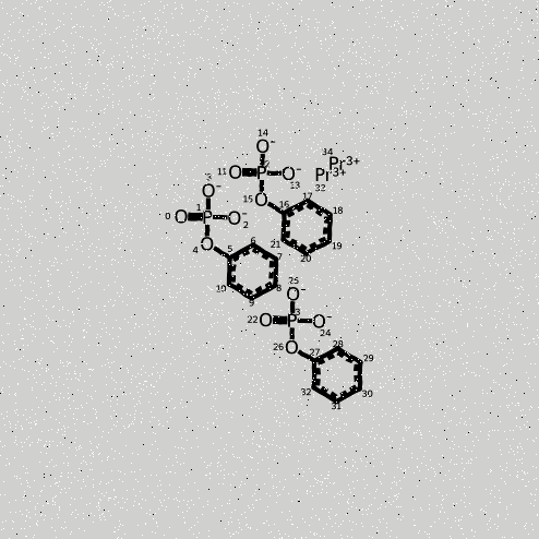 O=P([O-])([O-])Oc1ccccc1.O=P([O-])([O-])Oc1ccccc1.O=P([O-])([O-])Oc1ccccc1.[Pr+3].[Pr+3]